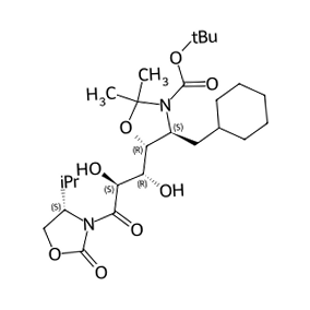 CC(C)[C@H]1COC(=O)N1C(=O)[C@@H](O)[C@@H](O)[C@@H]1OC(C)(C)N(C(=O)OC(C)(C)C)[C@H]1CC1CCCCC1